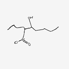 CCCCC(O)C(CC)[N+](=O)[O-]